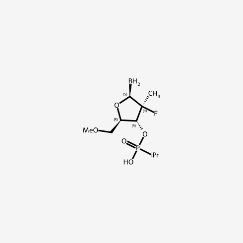 B[C@@H]1O[C@H](COC)[C@@H](OP(=O)(O)C(C)C)[C@]1(C)F